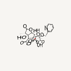 C[C@@H]1[C@@H](O)C2OC(=O)[C@]34OC5OC(=O)[C@H](OCc6ccccn6)C51C23[C@@H](O)[C@@H]1OC(=O)[C@@H](C)[C@@]14O